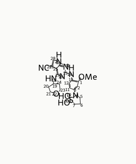 COc1cc(N2CCCS2(O)O)ccc1Nc1nc(NC2CCOCC2)c2c(C#N)c[nH]c2n1